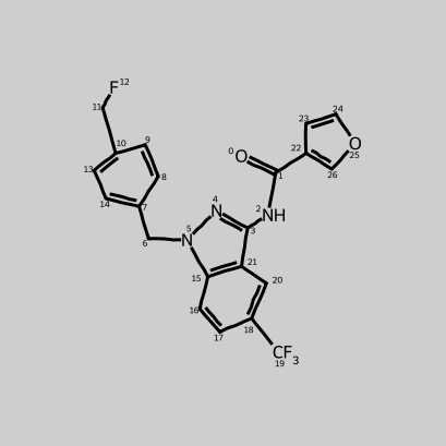 O=C(Nc1nn(Cc2ccc(CF)cc2)c2ccc(C(F)(F)F)cc12)c1ccoc1